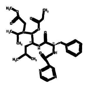 CCC(=O)OB([C@H](CC(C)C)NC(=O)[C@H](Cc1ccccc1)NC(=O)c1cnccn1)N(CC(=O)OC)C(C)C